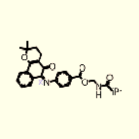 CC(C)C(=O)NCOC(=O)c1ccc(/N=C2\C(=O)C3=C(OC(C)(C)CC3)c3ccccc32)cc1